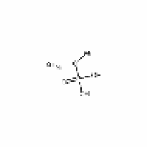 O=P(O)(O)[O][Mn].[Ni].[Zn]